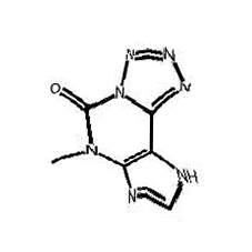 Cn1c(=O)n2nnnc2c2[nH]cnc21